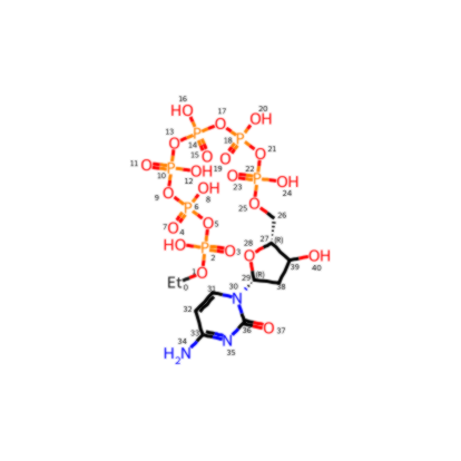 CCOP(=O)(O)OP(=O)(O)OP(=O)(O)OP(=O)(O)OP(=O)(O)OP(=O)(O)OC[C@H]1O[C@@H](n2ccc(N)nc2=O)CC1O